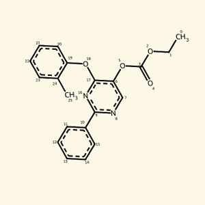 CCOC(=O)Oc1cnc(-c2ccccc2)nc1Oc1ccccc1C